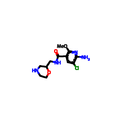 COc1nc(N)c(Cl)cc1C(=O)NCC1CNCCO1